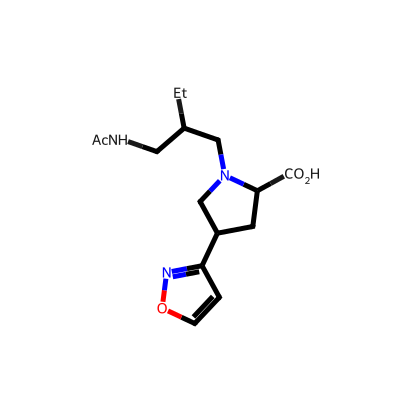 CCC(CNC(C)=O)CN1CC(c2ccon2)CC1C(=O)O